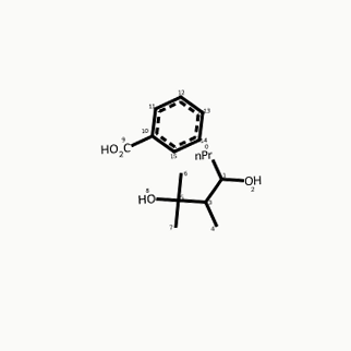 CCCC(O)C(C)C(C)(C)O.O=C(O)c1ccccc1